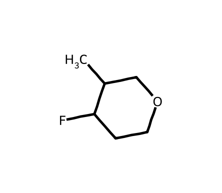 CC1COCCC1F